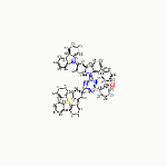 c1ccc(S(c2ccccc2)(c2ccccc2)c2ccc(-c3nc(-c4cccc5oc6ccccc6c45)nc(-n4c5ccccc5c5cc(-n6c7ccccc7c7ccccc76)ccc54)n3)cc2)cc1